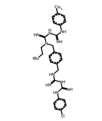 Cc1ccc(NC(=N)NC(=N)N(CCC(C)(C)C)Cc2ccc(CNC(=N)NC(=N)Nc3ccc(Cl)cc3)cc2)cc1